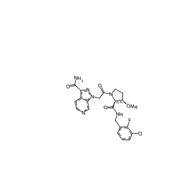 CO[C@@H]1CCN(C(=O)Cn2nc(C(N)=O)c3ccncc32)[C@@H]1C(=O)NCc1cccc(Cl)c1F